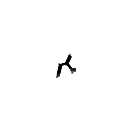 C=C(O)C=O